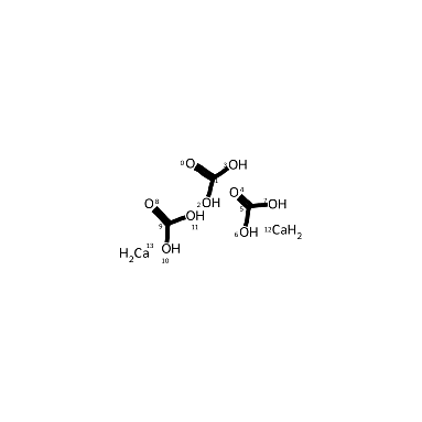 O=C(O)O.O=C(O)O.O=C(O)O.[CaH2].[CaH2]